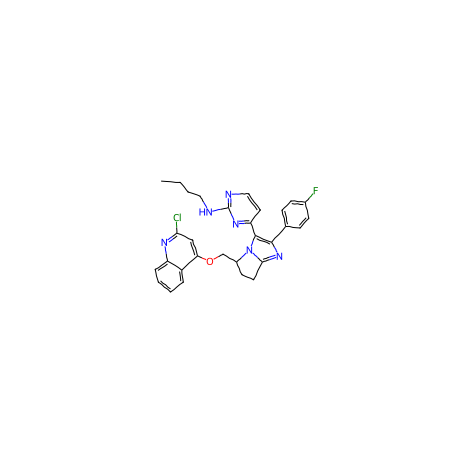 CCCCNc1nccc(-c2c(-c3ccc(F)cc3)nc3n2C(COc2cc(Cl)nc4ccccc24)CC3)n1